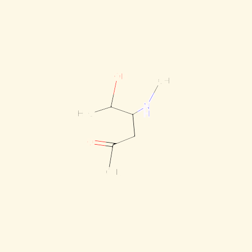 CNC(CC(C)=O)C(C)O